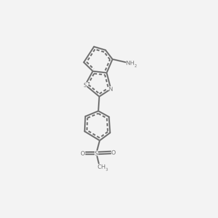 CS(=O)(=O)c1ccc(-c2nc3c(N)cccc3s2)cc1